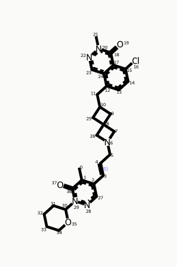 Cc1c(/C=C/CN2CC3(CC(Cc4ccc(Cl)c5c(=O)n(C)ncc45)C3)C2)cnn(C2CCCCO2)c1=O